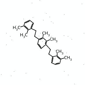 Cc1cccc(CCc2ccc(CCc3cccc(C)c3C)c(C)c2C)c1C